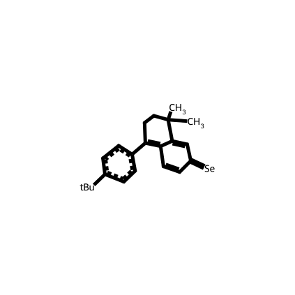 CC1(C)CCC(c2ccc(C(C)(C)C)cc2)=C2C=CC(=[Se])C=C21